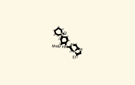 CCc1cnc2cnc(Nc3ccc(P4(=O)CCCCC4)cc3OC)cn12